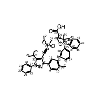 COP(=O)(C#Cc1c(-c2ccc(F)cc2)nn(-c2ccccc2)c1C(C)C)C[C@H](CC(=O)O)O[Si](c1ccccc1)(c1ccccc1)C(C)(C)C